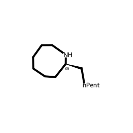 CCCCCC[C@H]1CCCCCCN1